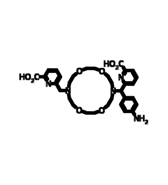 Nc1ccc(C(c2cccc(C(=O)O)n2)N2CCOCCOCCN(Cc3cccc(C(=O)O)n3)CCOCCOCC2)cc1